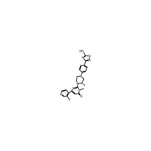 CCCc1nc(-c2ccc(N3CCN(c4nc(-c5ccncc5F)cc(=O)n4C)[C@H](C)C3)cc2)no1